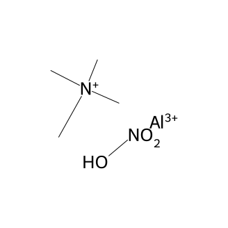 C[N+](C)(C)C.O=[N+]([O-])O.[Al+3]